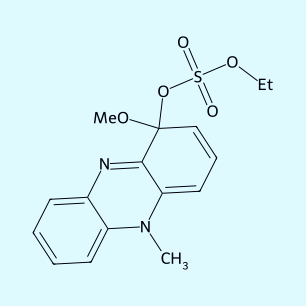 CCOS(=O)(=O)OC1(OC)C=CC=C2C1=Nc1ccccc1N2C